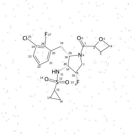 O=C(C1CCO1)N1C[C@H](F)[C@H](NS(=O)(=O)C2CC2)[C@@H]1Cc1cccc(Cl)c1F